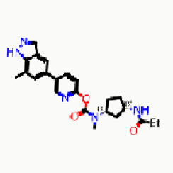 CCC(=O)N[C@H]1CC[C@@H](N(C)C(=O)Oc2ccc(-c3cc(C)c4[nH]ncc4c3)cn2)C1